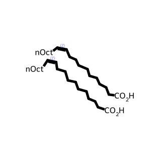 CCCCCCCC/C=C\CCCCCCCCCC(=O)O.CCCCCCCC/C=C\CCCCCCCCCC(=O)O